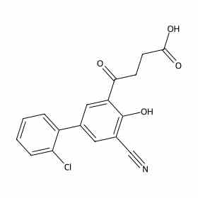 N#Cc1cc(-c2ccccc2Cl)cc(C(=O)CCC(=O)O)c1O